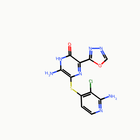 Nc1nccc(Sc2nc(-c3nnco3)c(=O)[nH]c2N)c1Cl